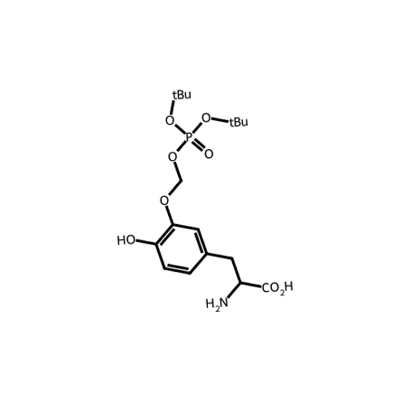 CC(C)(C)OP(=O)(OCOc1cc(CC(N)C(=O)O)ccc1O)OC(C)(C)C